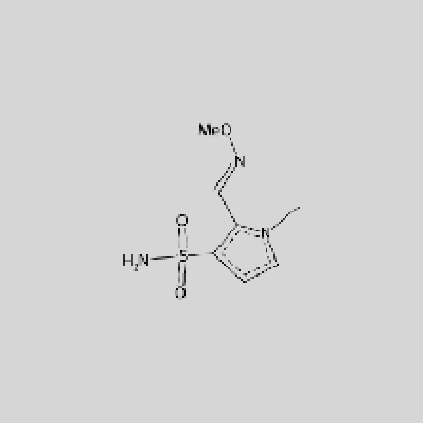 CON=Cc1c(S(N)(=O)=O)ccn1C